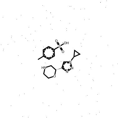 Cc1ccc(S(=O)(=O)O)cc1.c1c([C@H]2CNCCO2)nnn1C1CC1